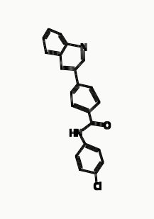 O=C(Nc1ccc(Cl)cc1)c1ccc(-c2cnc3ccccc3c2)cc1